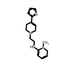 CN1CC=CC=C1NCCN1CC=C(c2cccs2)CC1